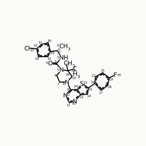 C[C@H](NC(=O)N1CCN(c2ncnc3cc(-c4ccc(F)cc4)sc23)CC1(C)C)c1ccc(Cl)cc1